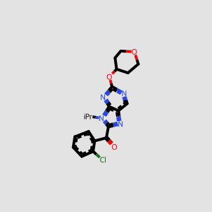 CC(C)n1c(C(=O)c2ccccc2Cl)nc2cnc(OC3CCOCC3)nc21